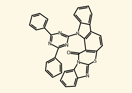 O=c1c2c(ccc3c4ccccc4n(-c4nc(-c5ccccc5)nc(-c5ccccc5)n4)c32)sc2nc3ccccc3n12